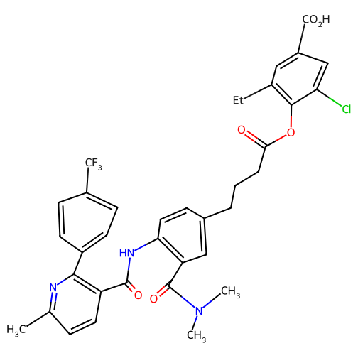 CCc1cc(C(=O)O)cc(Cl)c1OC(=O)CCCc1ccc(NC(=O)c2ccc(C)nc2-c2ccc(C(F)(F)F)cc2)c(C(=O)N(C)C)c1